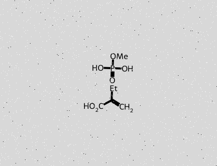 C=C(CC)C(=O)O.COP(=O)(O)O